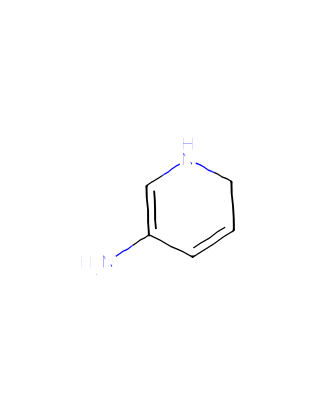 NC1=CNCC=C1